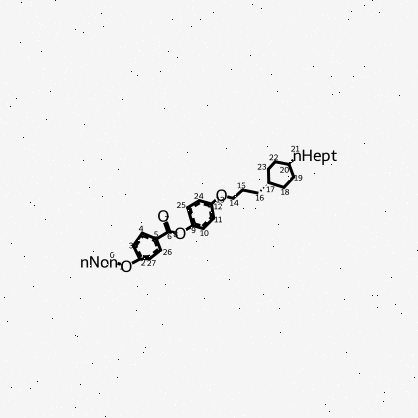 CCCCCCCCCOc1ccc(C(=O)Oc2ccc(OCCC[C@H]3CC[C@H](CCCCCCC)CC3)cc2)cc1